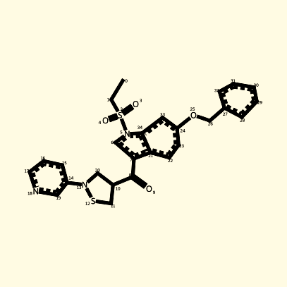 CCS(=O)(=O)n1cc(C(=O)C2CSN(c3cccnc3)C2)c2ccc(OCc3ccccc3)cc21